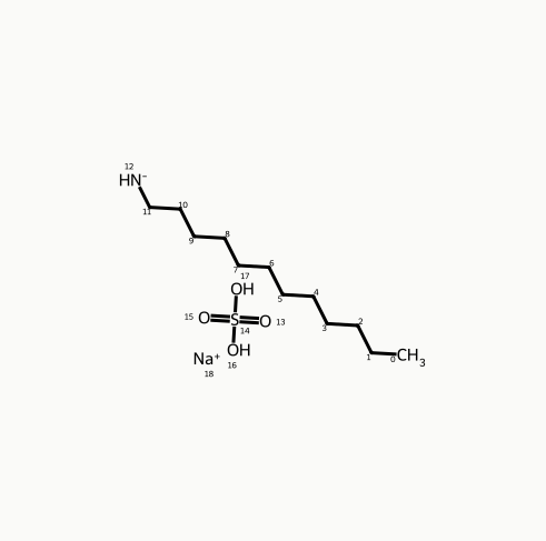 CCCCCCCCCCCC[NH-].O=S(=O)(O)O.[Na+]